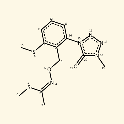 CSC(C)=NOCc1c(SC)cccc1-n1nnn(C)c1=O